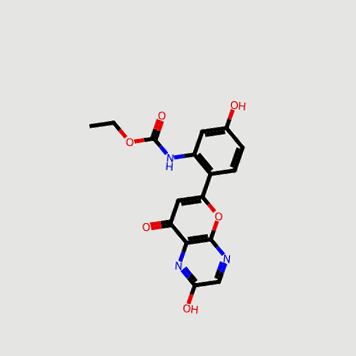 CCOC(=O)Nc1cc(O)ccc1-c1cc(=O)c2nc(O)cnc2o1